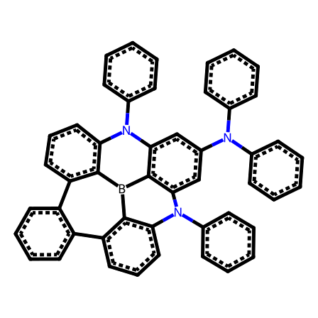 c1ccc(N(c2ccccc2)c2cc3c4c(c2)N(c2ccccc2)c2cccc5c2B4c2c(cccc2N3c2ccccc2)-c2ccccc2-5)cc1